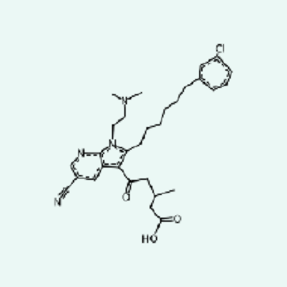 CC(CC(=O)O)CC(=O)c1c(CCCCCCc2cccc(Cl)c2)n(CCN(C)C)c2ncc(C#N)cc12